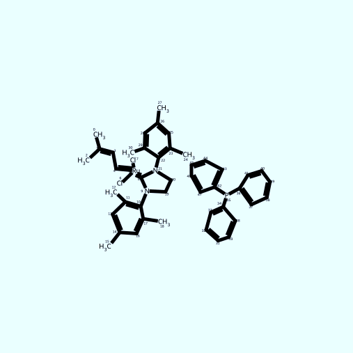 CC(C)=C[CH]=[Ru]([Cl])([Cl])=[C]1N(c2c(C)cc(C)cc2C)CCN1c1c(C)cc(C)cc1C.c1ccc(P(c2ccccc2)c2ccccc2)cc1